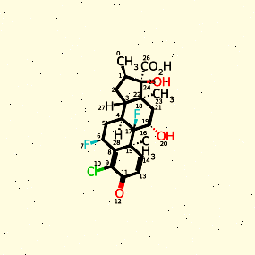 C[C@@H]1C[C@H]2[C@@H]3C[C@H](F)C4=C(Cl)C(=O)C=C[C@]4(C)[C@@]3(F)[C@@H](O)C[C@]2(C)[C@@]1(O)C(=O)O